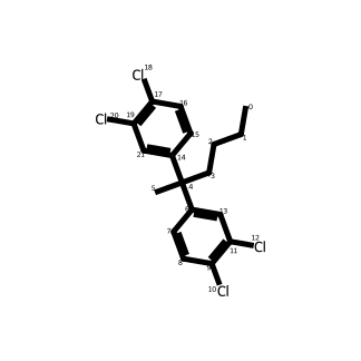 CCC[CH]C(C)(c1ccc(Cl)c(Cl)c1)c1ccc(Cl)c(Cl)c1